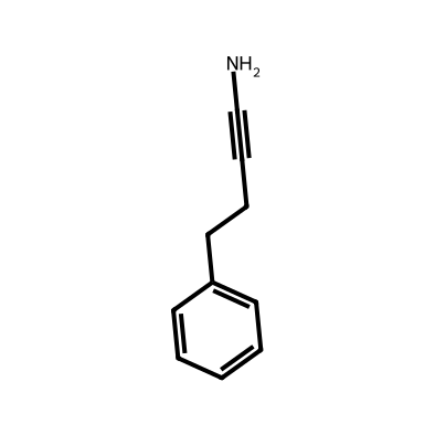 NC#CCCc1ccccc1